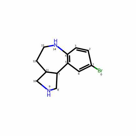 Brc1ccc2c(c1)C1CNCC1CCN2